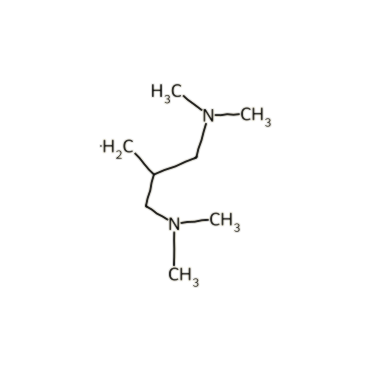 [CH2]C(CN(C)C)CN(C)C